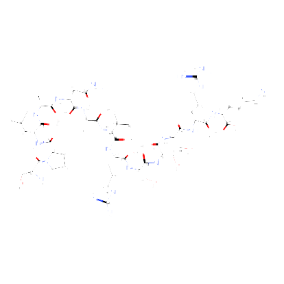 CC(C)C[C@H](NC(=O)[C@@H]1CCCN1C(=O)[C@@H](N)CO)C(=O)N[C@@H](C)C(=O)N[C@@H](CC(N)=O)C(=O)N[C@@H](C)C(=O)N[C@H](C(=O)N[C@@H](CCCNC(=N)N)C(=O)N[C@@H](CO)C(=O)N[C@@H](CO)C(=O)N[C@@H](CO)C(=O)N[C@@H](CCCNC(=N)N)C(=O)N[C@@H](CCCCN)C(=O)O)C(C)C